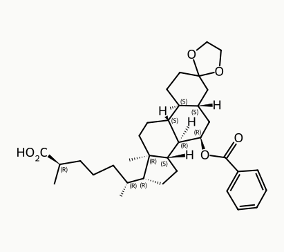 C[C@H](CCC[C@@H](C)[C@H]1CC[C@H]2[C@@H]3[C@H](OC(=O)c4ccccc4)C[C@H]4CC5(CC[C@]4(C)[C@H]3CC[C@]12C)OCCO5)C(=O)O